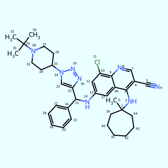 CC1(Nc2c(C#N)cnc3c(Cl)cc(NC(c4ccccc4)c4cn(C5CCN(C(C)(C)C)CC5)nn4)cc23)CCCCCC1